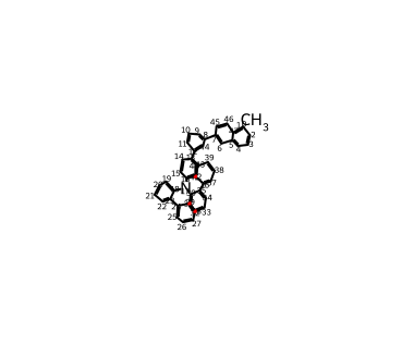 Cc1cccc2cc(-c3cccc(-c4ccc(N(c5ccccc5-c5ccccc5)c5ccccc5-c5ccccc5)cc4)c3)ccc12